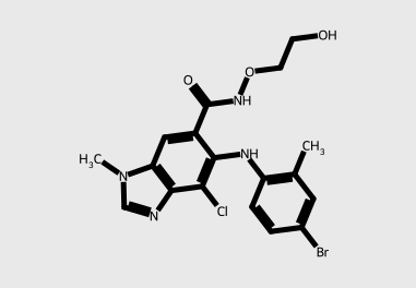 Cc1cc(Br)ccc1Nc1c(C(=O)NOCCO)cc2c(ncn2C)c1Cl